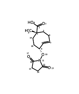 C[C@@]1(C(=O)O)CC/C=C/[C@H](ON2C(=O)CCC2=O)CC1